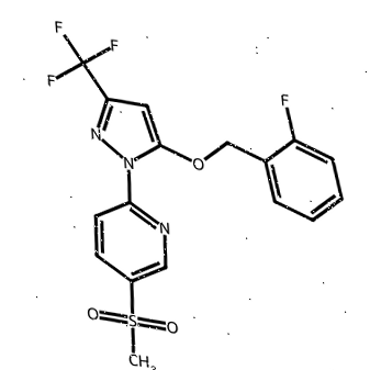 CS(=O)(=O)c1ccc(-n2nc(C(F)(F)F)cc2OCc2ccccc2F)nc1